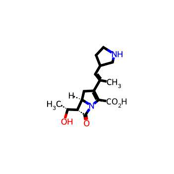 CC(=CC1CCNC1)C1=C(C(=O)O)N2C(=O)[C@H]([C@@H](C)O)[C@H]2C1